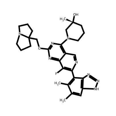 Cc1cc2[nH]nnc2c(-c2ncc3c(N4CCC[C@@](C)(O)C4)nc(OCC45CCCN4CCC5)nc3c2F)c1C